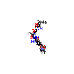 COC(=O)/C=C\C(=O)NCCC(=O)NC(C(=O)NCC(=O)Nc1ccc(COC(=O)N(C)C(C)C(C)C)cc1)C(C)C